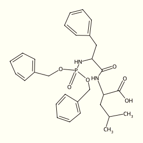 CC(C)CC(NC(=O)C(Cc1ccccc1)NP(=O)(OCc1ccccc1)OCc1ccccc1)C(=O)O